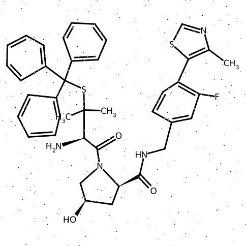 Cc1ncsc1-c1ccc(CNC(=O)[C@H]2C[C@@H](O)CN2C(=O)[C@@H](N)C(C)(C)SC(c2ccccc2)(c2ccccc2)c2ccccc2)cc1F